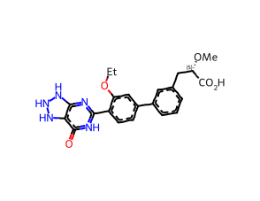 CCOc1cc(-c2cccc(C[C@H](OC)C(=O)O)c2)ccc1-c1nc2c(c(=O)[nH]1)NNN2